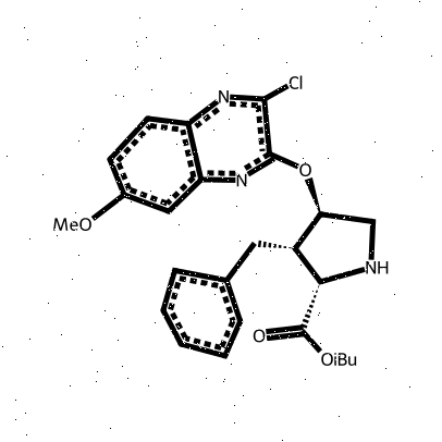 COc1ccc2nc(Cl)c(O[C@H]3CN[C@H](C(=O)OCC(C)C)[C@@H]3Cc3ccccc3)nc2c1